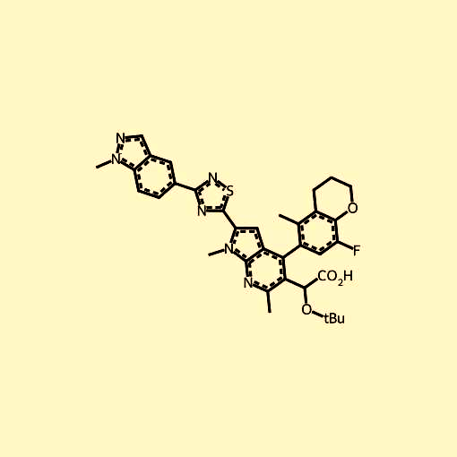 Cc1nc2c(cc(-c3nc(-c4ccc5c(cnn5C)c4)ns3)n2C)c(-c2cc(F)c3c(c2C)CCCO3)c1C(OC(C)(C)C)C(=O)O